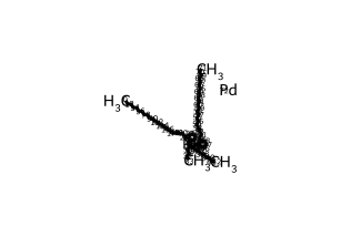 CCCCCCCCCCCCCCCCCCC#CCCc1ccccc1N=C(CCCC)C(CCCCCCCC)=Nc1ccccc1CCC#CCCCCCCCCCCCCCCCCCC.[Pd]